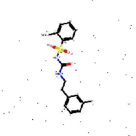 CCc1cccc(CCNC(=O)NS(=O)(=O)c2ccccc2OC)c1